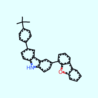 CC(C)(C)c1ccc(-c2ccc3[nH]c4ccc(-c5cccc6c5oc5ccccc56)cc4c3c2)cc1